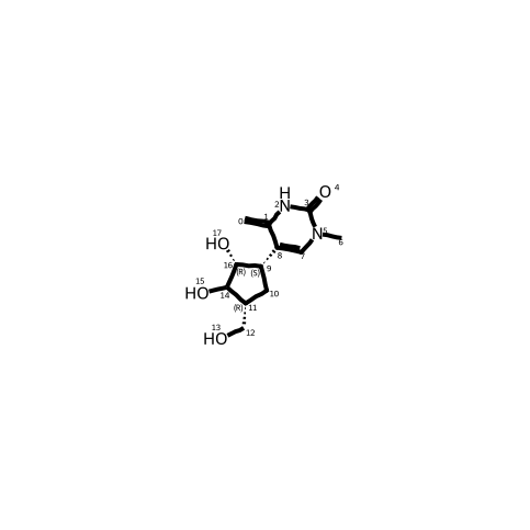 C=C1NC(=O)N(C)C=C1[C@@H]1C[C@H](CO)C(O)[C@@H]1O